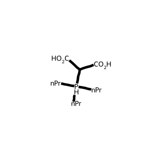 CCC[PH](CCC)(CCC)C(C(=O)O)C(=O)O